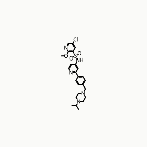 COc1ncc(Cl)cc1S(=O)(=O)Nc1ccnc(-c2ccc(CN3CCN(C(C)C)CC3)cc2)c1